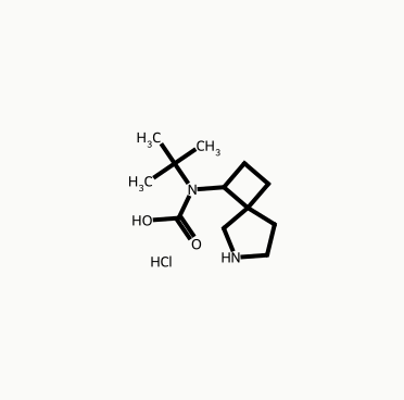 CC(C)(C)N(C(=O)O)C1CCC12CCNC2.Cl